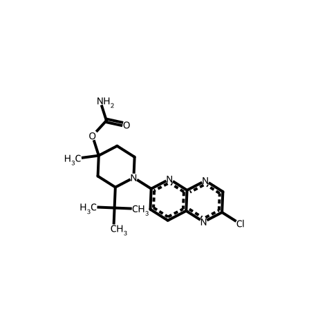 CC1(OC(N)=O)CCN(c2ccc3nc(Cl)cnc3n2)C(C(C)(C)C)C1